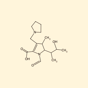 CC(O)C(C)C1C(C)C(CN2CCCC2)=C(C(=O)O)N1C=O